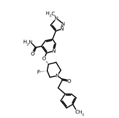 Cc1ccc(CC(=O)N2CC[C@@H](Oc3ncc(-c4cn(C)nn4)cc3C(N)=O)[C@@H](F)C2)cc1